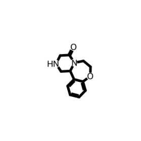 O=C1CNCC2c3ccccc3OCCN12